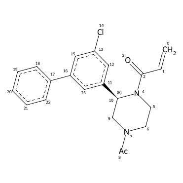 C=CC(=O)N1CCN(C(C)=O)C[C@H]1c1cc(Cl)cc(-c2ccccc2)c1